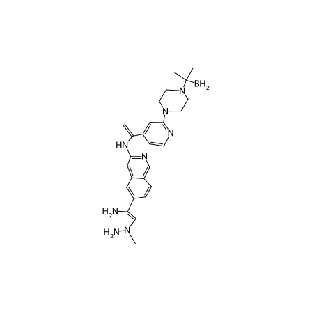 BC(C)(C)N1CCN(c2cc(C(=C)Nc3cc4cc(/C(N)=C/N(C)N)ccc4cn3)ccn2)CC1